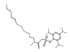 CCCCCCCCCCCC(C)C(=S)CS(=O)(=O)Oc1c(C(C)C)cc(C(C)C)cc1C(C)C